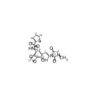 CN1CC(=O)N(C=Cc2cc(NS(=O)(=O)c3cccs3)c3c(c2O)OCO3)C1=O